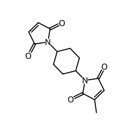 CC1=CC(=O)N(C2CCC(N3C(=O)C=CC3=O)CC2)C1=O